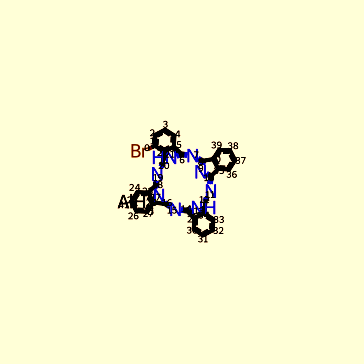 Brc1cccc2c3nc4nc(nc5[nH]c(nc6nc(nc([nH]3)c12)-c1ccccc1-6)c1ccccc51)-c1ccccc1-4.[AlH3]